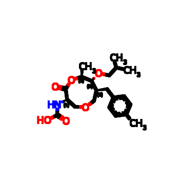 Cc1ccc(C[C@H]2COC[C@H](NC(=O)O)C(=O)O[C@@H](C)[C@@H]2OCC(C)C)cc1